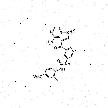 COc1ccc(NC(=O)Nc2cccc(C(=O)c3cn(C(C)C)c4ncnc(N)c34)c2)c(C)c1